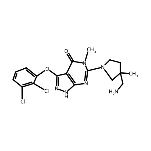 Cn1c(N2CCC(C)(CN)C2)nc2[nH]nc(Oc3cccc(Cl)c3Cl)c2c1=O